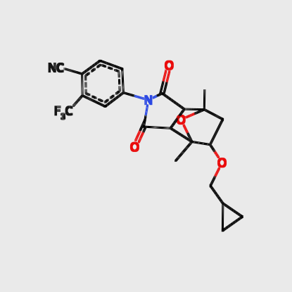 CC12CC(OCC3CC3)C(C)(O1)C1C(=O)N(c3ccc(C#N)c(C(F)(F)F)c3)C(=O)C12